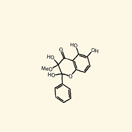 COC1(O)C(=O)c2c(ccc(O)c2O)OC1(O)c1ccccc1